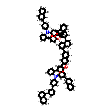 c1cc(-c2ccc(N(c3cccc(-c4ccc5ccccc5c4)c3)c3ccccc3-c3ccc4oc5cc6ccc(-c7cccc8c(-c9cccc(-c%10ccc(N(c%11ccc(-c%12ccc%13ccccc%13c%12)cc%11)c%11ccccc%11-c%11ccc%12oc%13cc%14ccccc%14cc%13c%12c%11)cc%10)c9)cccc78)cc6cc5c4c3)cc2)cc(-c2cccc3ccccc23)c1